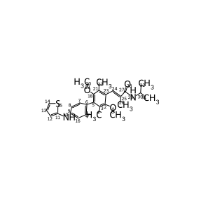 COc1c(C)c(-c2ccc(Nc3cccs3)cc2)c(OC)c(C)c1/C=C(\C)C(=O)NC(C)C